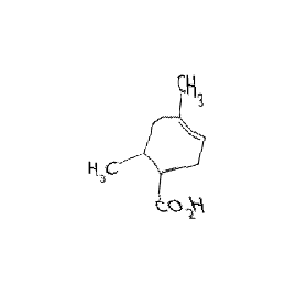 CC1=CCC(C(=O)O)C(C)C1